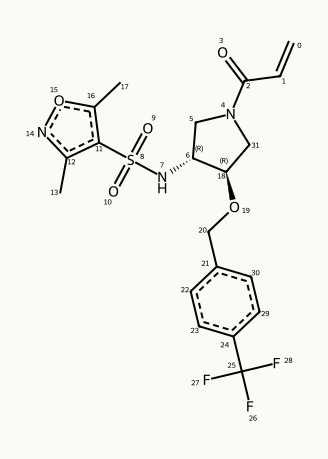 C=CC(=O)N1C[C@@H](NS(=O)(=O)c2c(C)noc2C)[C@H](OCc2ccc(C(F)(F)F)cc2)C1